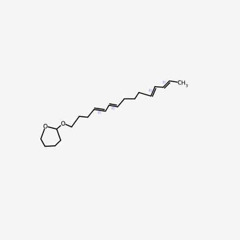 C/C=C/C=C/CCC/C=C/C=C/CCCOC1CCCCO1